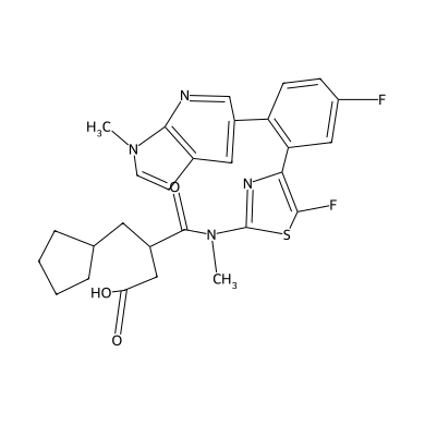 CN(C(=O)C(CC(=O)O)CC1CCCC1)c1nc(-c2cc(F)ccc2-c2cnc3c(ccn3C)c2)c(F)s1